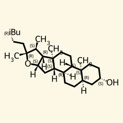 CC[C@@H](C)CC[C@@]1(C)O[C@H]2C[C@H]3[C@@H]4CC[C@@H]5C[C@@H](O)CC[C@]5(C)[C@H]4CC[C@]3(C)[C@H]2[C@@H]1C